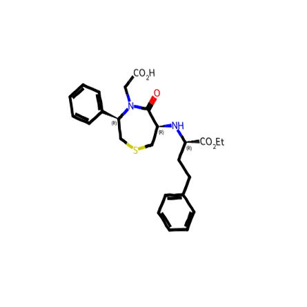 CCOC(=O)[C@@H](CCc1ccccc1)N[C@H]1CSC[C@@H](c2ccccc2)N(CC(=O)O)C1=O